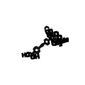 CNC(=O)[C@@H](C(=O)NOC1CCCCO1)N(C)C(=O)c1ccc(C#Cc2ccc([C@@H](O)CO)cc2)cc1